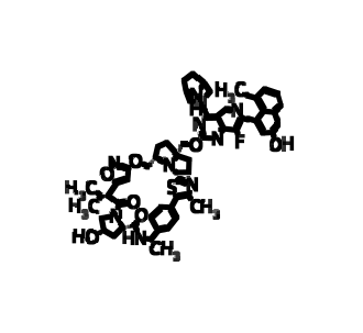 CCc1cccc2cc(O)cc(-c3ncc4c(N5CC6CCC(C5)N6)nc(OC[C@]56CCCN5[C@H](COc5cc([C@H](C(=O)N7C[C@H](O)C[C@H]7C(=O)N[C@@H](C)c7ccc(-c8scnc8C)cc7)C(C)C)on5)CC6)nc4c3F)c12